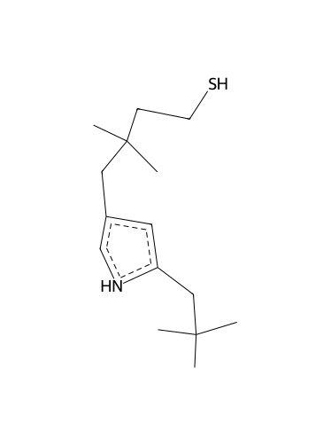 CC(C)(C)Cc1cc(CC(C)(C)CCS)c[nH]1